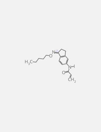 C=CC(=O)N(I)c1ccc2c(c1)CC/C2=N/OCCCCC